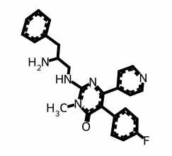 Cn1c(NCC(N)Cc2ccccc2)nc(-c2ccncc2)c(-c2ccc(F)cc2)c1=O